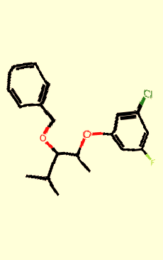 CC(C)C(OCc1ccccc1)C(C)Oc1cc(F)cc(Cl)c1